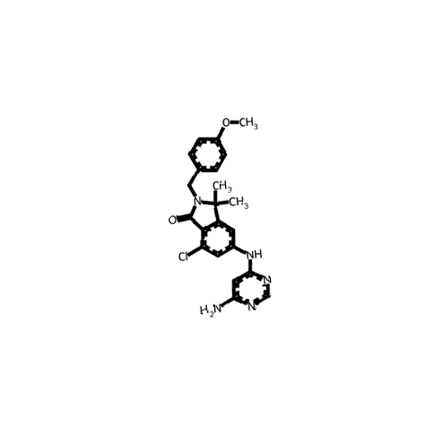 COc1ccc(CN2C(=O)c3c(Cl)cc(Nc4cc(N)ncn4)cc3C2(C)C)cc1